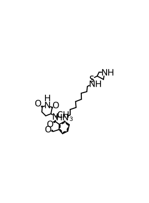 CN(C(=O)c1c(C=O)cccc1NCCCCCCCCNSC1CNC1)C1CCC(=O)NC1=O